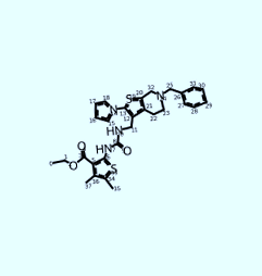 CCOC(=O)c1c(NC(=O)NCc2c(-n3cccc3)sc3c2CCN(Cc2ccccc2)C3)sc(C)c1C